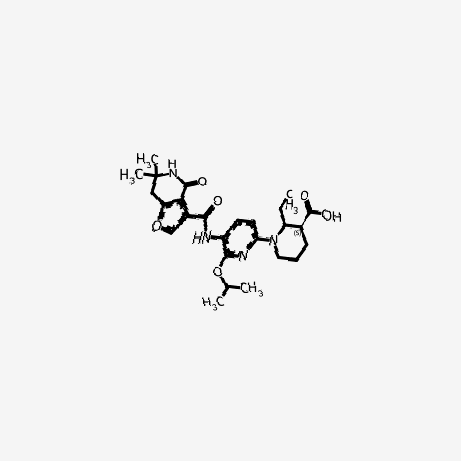 CCC1[C@@H](C(=O)O)CCCN1c1ccc(NC(=O)c2coc3c2C(=O)NC(C)(C)C3)c(OC(C)C)n1